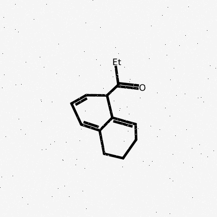 CCC(=O)C1C=CC=C2CCCC=C21